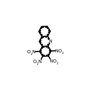 O=[N+]([O-])c1c([N+](=O)[O-])c([N+](=O)[O-])c2nc3ccccc3cc2c1[N+](=O)[O-]